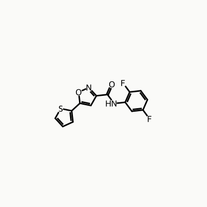 O=C(Nc1cc(F)ccc1F)c1cc(-c2cccs2)on1